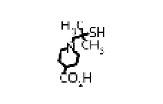 CC(C)(S)CN1CCC(C(=O)O)CC1